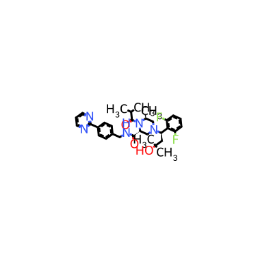 CC(C)C(=O)N1[C@H](C)CN([C@H](CC(C)(C)O)c2c(F)cccc2F)C[C@@H]1C(=O)NCc1ccc(-c2ncccn2)cc1